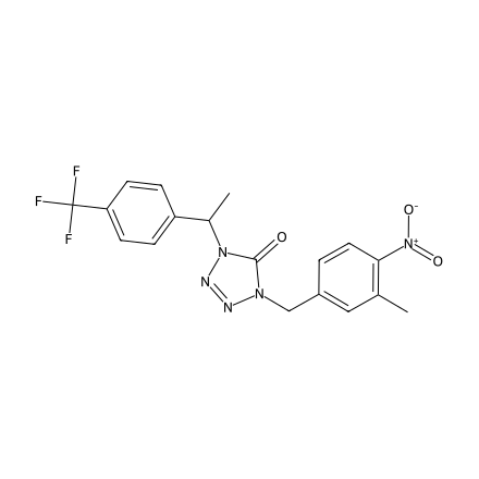 Cc1cc(Cn2nnn(C(C)c3ccc(C(F)(F)F)cc3)c2=O)ccc1[N+](=O)[O-]